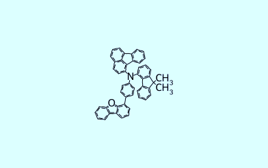 CC1(C)c2ccccc2-c2c(N(c3ccc(-c4cccc5c4oc4ccccc45)cc3)c3ccc4cccc5c4c3-c3ccccc3-5)cccc21